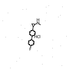 CNC1CC1c1ccc(-c2ccc(F)cc2)cc1.Cl